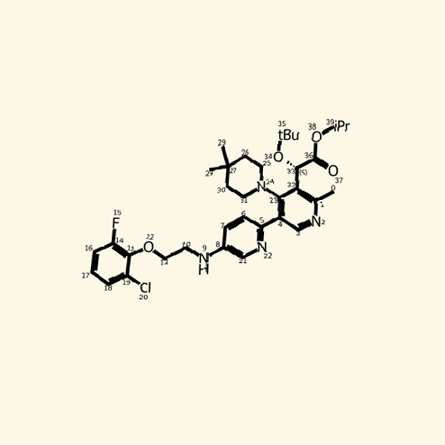 Cc1ncc(-c2ccc(NCCOc3c(F)cccc3Cl)cn2)c(N2CCC(C)(C)CC2)c1[C@H](OC(C)(C)C)C(=O)OC(C)C